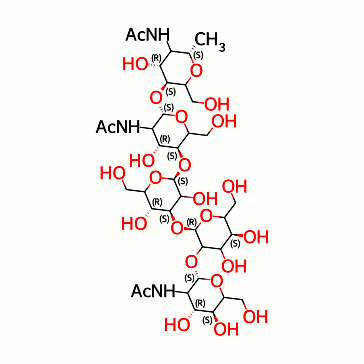 CC(=O)NC1[C@H](OC2C(O)[C@H](O)C(CO)O[C@@H]2O[C@@H]2C(O)[C@H](O[C@@H]3C(CO)O[C@@H](O[C@@H]4C(CO)O[C@@H](C)C(NC(C)=O)[C@H]4O)C(NC(C)=O)[C@H]3O)OC(CO)[C@H]2O)OC(CO)[C@@H](O)[C@@H]1O